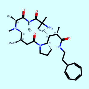 CC[C@H](C)[C@@H]([C@@H](CC(=O)N1CCC[C@H]1[C@H](OC)[C@@H](C)C(=O)NCCC1C=CC=CC=C1)OC)N(C)[C@H](C(=O)NC(=O)C(C)(C)N)C(C)C